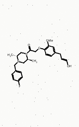 COc1cc(C/C=C/O)ccc1OCC(=O)N1C[C@@H](C)N(Cc2ccc(F)cc2)C[C@@H]1C